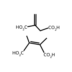 C/C(C(=O)O)=C(\C)C(=O)O.C=C(CC(=O)O)C(=O)O